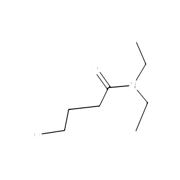 CCN(CC)C(=O)CCC[O]